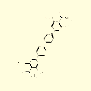 CC(=O)Oc1cc(-c2ccc(-c3ccc(-c4cc(OC(C)=O)c(C(N)=O)c(OC(C)=O)c4)cc3)cc2)cc(OC(C)=O)c1C(N)=O